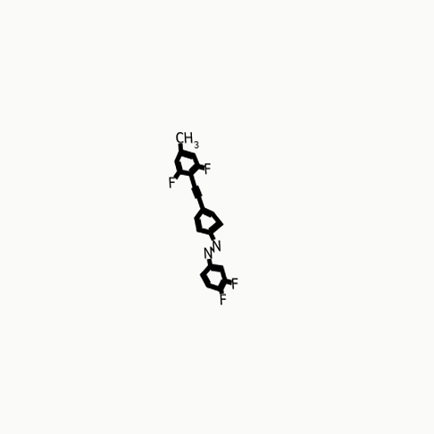 Cc1cc(F)c(C#Cc2ccc(N=Nc3ccc(F)c(F)c3)cc2)c(F)c1